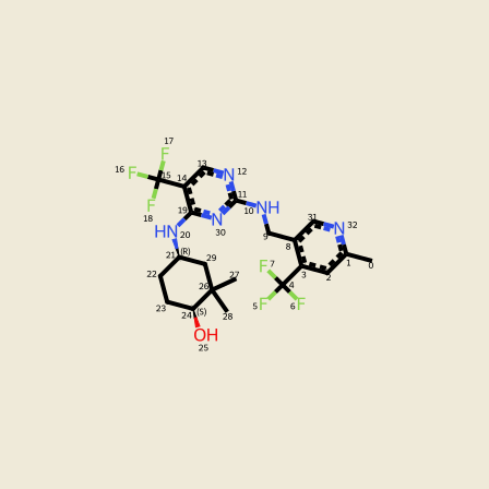 Cc1cc(C(F)(F)F)c(CNc2ncc(C(F)(F)F)c(N[C@@H]3CC[C@H](O)C(C)(C)C3)n2)cn1